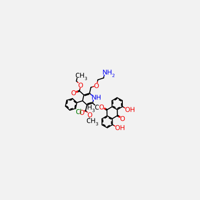 CCOC(=O)C1=C(COCCN)NC(C)=C(C(=O)OC)C1c1ccccc1Cl.O=C1c2cccc(O)c2C(=O)c2c(O)cccc21